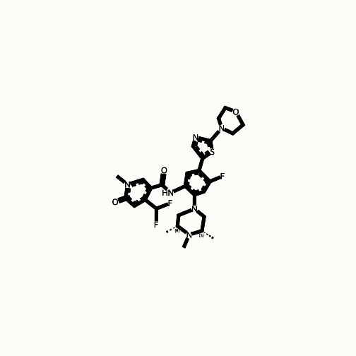 C[C@@H]1CN(c2cc(F)c(-c3cnc(N4CCOCC4)s3)cc2NC(=O)c2cn(C)c(=O)cc2C(F)F)C[C@H](C)N1C